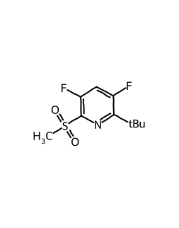 CC(C)(C)c1nc(S(C)(=O)=O)c(F)cc1F